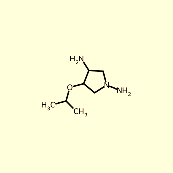 CC(C)OC1CN(N)CC1N